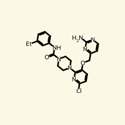 CCc1cccc(NC(=O)N2CCN(c3nc(Cl)ccc3OCc3ccnc(N)n3)CC2)c1